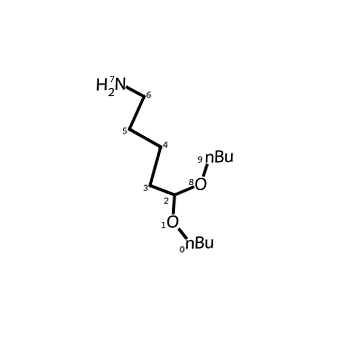 CCCCOC(CCCCN)OCCCC